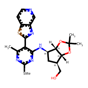 CSc1nc(C)c(-c2nc3cnccc3s2)c(N[C@@H]2C[C@H](CO)[C@H]3OC(C)(C)O[C@H]32)n1